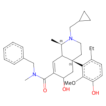 CCc1ccc(O)c(OC)c1[C@]12CCN(CC3CC3)[C@H](C)C1C=C(C(=O)N(C)Cc1ccccc1)C(O)C2